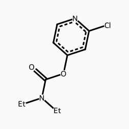 CCN(CC)C(=O)Oc1ccnc(Cl)c1